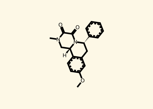 COc1ccc2c(c1)C[C@@H](c1ccccc1)N1C(=O)C(=O)N(C)C[C@@H]21